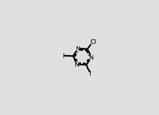 Clc1nc(I)nc(I)n1